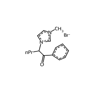 CCCC(C(=O)c1ccccc1)[n+]1ccn(C)c1.[Br-]